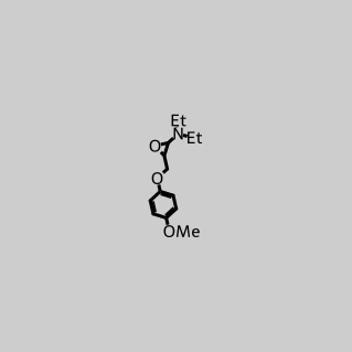 CCN(CC)C1OC1COc1ccc(OC)cc1